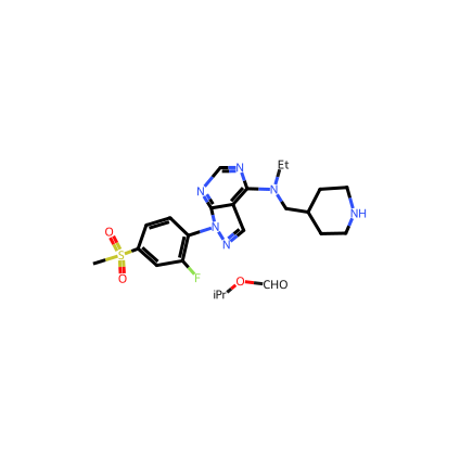 CC(C)OC=O.CCN(CC1CCNCC1)c1ncnc2c1cnn2-c1ccc(S(C)(=O)=O)cc1F